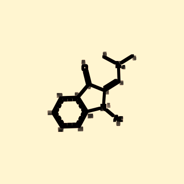 CC(=O)N1/C(=C/N(C)C)C(=O)c2ccccc21